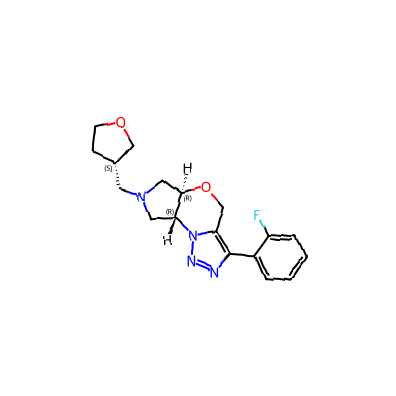 Fc1ccccc1-c1nnn2c1CO[C@@H]1CN(C[C@@H]3CCOC3)C[C@H]12